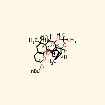 C=C1C(=O)[C@@]23[C@@H]4OC(C)(C)OC25OC[C@]2(C6=C(CC[C@@H](OCCCC)O6)CC(C)(C)[C@H]2[C@@H]5O)[C@@H]3CC[C@@H]14